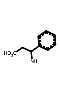 [NH]C(CC(=O)O)c1ccccc1